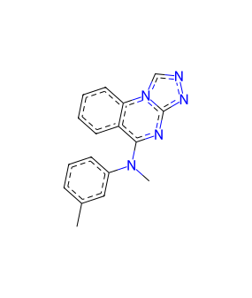 Cc1cccc(N(C)c2nc3nncn3c3ccccc23)c1